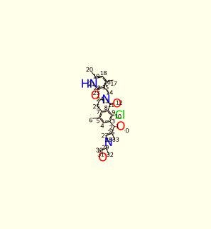 COC(c1cc(C)c2c(c1Cl)C(=O)N(Cc1c(C)cc(C)[nH]c1=O)CC2)C1CN(C2COC2)C1